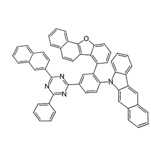 c1ccc(-c2nc(-c3ccc(-n4c5ccccc5c5cc6ccccc6cc54)c(-c4cccc5oc6c7ccccc7ccc6c45)c3)nc(-c3ccc4ccccc4c3)n2)cc1